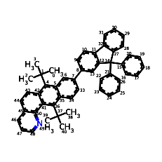 CC(C)(C)c1c2cc(-c3ccc4c(c3)C(c3ccccc3)(c3ccccc3)c3ccccc3-4)ccc2c(C(C)(C)C)c2c1ccc1cccnc12